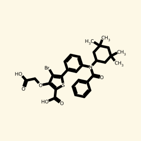 CC1(C)CC(N(C(=O)c2ccccc2)c2cccc(-c3sc(C(=O)O)c(OCC(=O)O)c3Br)c2)CC(C)(C)C1